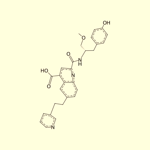 COC[C@H](Cc1ccc(O)cc1)NC(=O)c1cc(C(=O)O)c2cc(CCc3cccnc3)ccc2n1